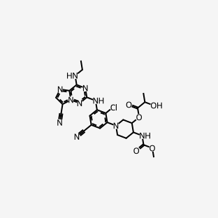 CCNc1nc(Nc2cc(C#N)cc(N3CCC(NC(=O)OC)C(OC(=O)C(C)O)C3)c2Cl)nn2c(C#N)cnc12